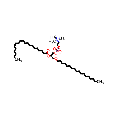 CCCCC/C=C\C/C=C\CCCCCCCCCC(=O)O[C@H](COCCCCCCCCCCCCCCCCCC)COP(=O)([O-])OCC[N+](C)(C)C